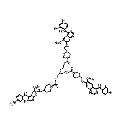 Bc1ccc(Nc2ncnc3cc(OCC4CCN(C(=O)OCCN(CCOC(=O)N5CCC(COc6cc7ncnc(Nc8ccc(Br)cc8F)c7cc6OC)CC5)CCOC(=O)N5CCC(COc6cc7ncnc(Nc8ccc(Br)cc8F)c7cc6OC)CC5)CC4)c(OC)cc23)c(F)c1